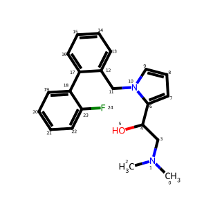 CN(C)CC(O)c1cccn1Cc1ccccc1-c1ccccc1F